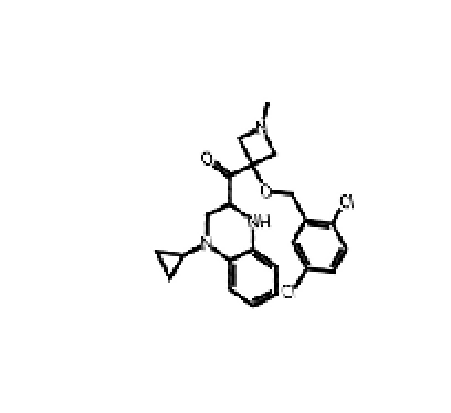 CN1CC(OCc2cc(Cl)ccc2Cl)(C(=O)C2CN(C3CC3)c3ccccc3N2)C1